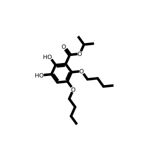 CCCCOc1cc(O)c(O)c(C(=O)OC(C)C)c1OCCCC